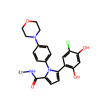 CCNC(=O)c1ccc(-c2cc(Cl)c(O)cc2O)n1-c1ccc(N2CCOCC2)cc1